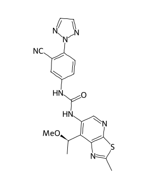 CO[C@H](C)c1c(NC(=O)Nc2ccc(-n3nccn3)c(C#N)c2)cnc2sc(C)nc12